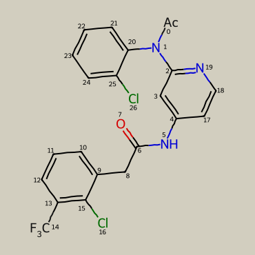 CC(=O)N(c1cc(NC(=O)Cc2cccc(C(F)(F)F)c2Cl)ccn1)c1ccccc1Cl